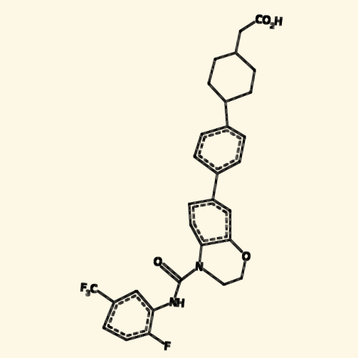 O=C(O)CC1CCC(c2ccc(-c3ccc4c(c3)OCCN4C(=O)Nc3cc(C(F)(F)F)ccc3F)cc2)CC1